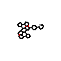 c1ccc(-c2ccccc2-c2c3ccccc3c(-c3ccccc3-c3ccccc3)c3cc(-c4ccc(-c5ccccn5)cc4)ccc23)cc1